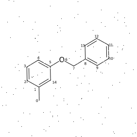 Cc1[c]ccc(OCc2ccccc2)c1